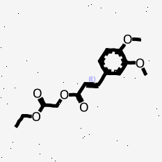 CCOC(=O)COC(=O)/C=C/c1ccc(OC)c(OC)c1